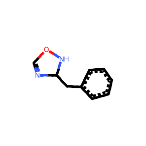 C1=N[C](Cc2ccccc2)NO1